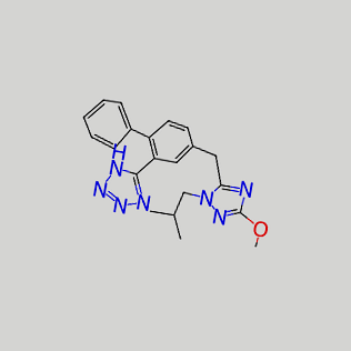 COc1nc(Cc2ccc(-c3ccccc3)c(-c3nnn[nH]3)c2)n(CC(C)C)n1